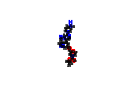 CNC1(C)CCN(c2cnc(-c3cc(OCC4CN(C(=O)OC(C)(C)C)CCO4)cn4ncc(C#N)c34)cn2)CC1